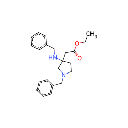 CCOC(=O)CC1(NCc2ccccc2)CCN(Cc2ccccc2)C1